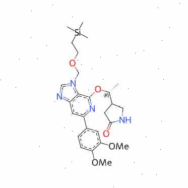 COc1ccc(-c2cc3ncn(COCC[Si](C)(C)C)c3c(O[C@H](C)C3CNC(=O)C3)n2)cc1OC